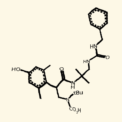 Cc1cc(O)cc(C)c1C(CN(C(=O)O)C(C)(C)C)C(=O)NC(C)(C)CNC(=O)NCc1ccccc1